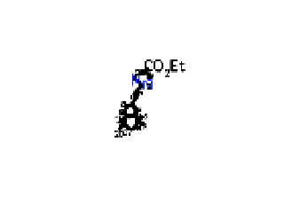 CCOC(=O)c1cnc(C#Cc2ccc3c(c2)C(C)(C)CCC3(C)C)nc1